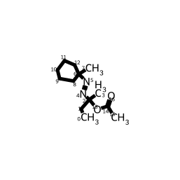 CCC(C)(N=NC1(C)CCCCC1)OC(C)=O